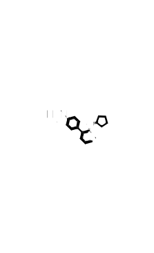 Nc1ccc(-c2cccnc2OC2CCCC2)cc1